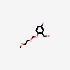 COCCOCOc1ccc(I)cc1CBr